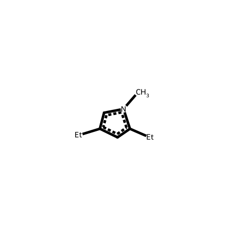 CCc1cc(CC)n(C)c1